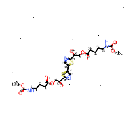 CC(C)(C)OC(=O)NCCCCC(=O)OCC(=O)c1ncc(-c2cnc(C(=O)COC(=O)CCCCNC(=O)OC(C)(C)C)s2)s1